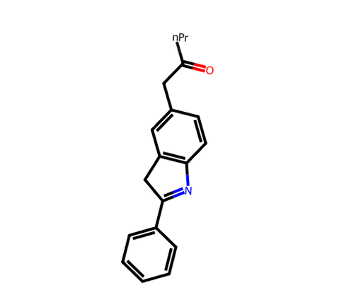 CCCC(=O)Cc1ccc2c(c1)CC(c1ccccc1)=N2